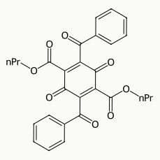 CCCOC(=O)C1=C(C(=O)c2ccccc2)C(=O)C(C(=O)OCCC)=C(C(=O)c2ccccc2)C1=O